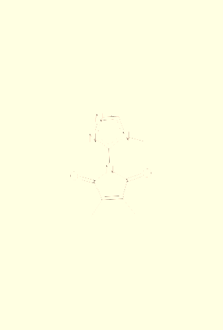 CC1=C(C)C(=O)N(c2nncn2C)C1=O